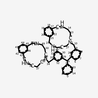 c1ccc(C(c2cccc(CN3CCCNCc4cccc(c4)CNCCC3)c2)c2cccc(CN3CCCNCc4cccc(c4)CNCCC3)c2)cc1